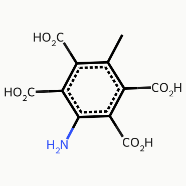 Cc1c(C(=O)O)c(C(=O)O)c(N)c(C(=O)O)c1C(=O)O